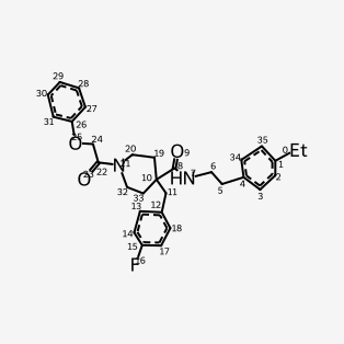 CCc1ccc(CCNC(=O)C2(Cc3ccc(F)cc3)CCN(C(=O)COc3ccccc3)CC2)cc1